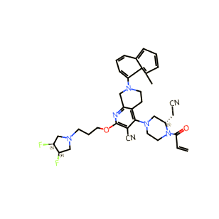 C=CC(=O)N1CCN(c2c(C#N)c(OCCCN3C[C@@H](F)[C@@H](F)C3)nc3c2CCN(c2cccc4cccc(C)c24)C3)C[C@@H]1CC#N